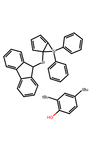 C1=C[C]2([Zr][CH]3c4ccccc4-c4ccccc43)C(=C1)[Si]2(c1ccccc1)c1ccccc1.CC(C)(C)c1ccc(O)c(C(C)(C)C)c1